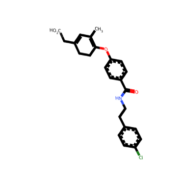 CC1=C(Oc2ccc(C(=O)NCCc3ccc(Cl)cc3)cc2)CCC(CC(=O)O)=C1